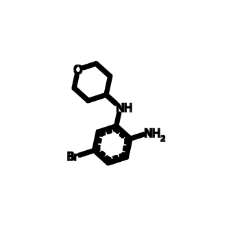 Nc1ccc(Br)cc1NC1CCOCC1